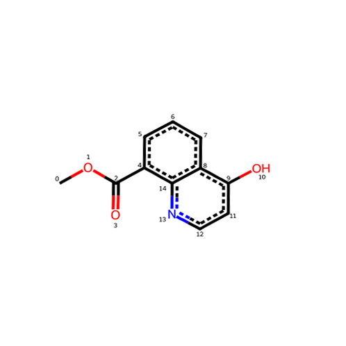 COC(=O)c1cccc2c(O)ccnc12